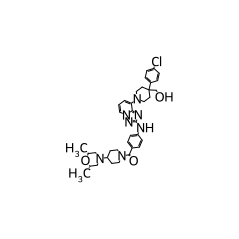 C[C@H]1CN(C2CCN(C(=O)c3ccc(Nc4nc5c(N6CCC(CO)(c7ccc(Cl)cc7)CC6)cccn5n4)cc3)CC2)C[C@H](C)O1